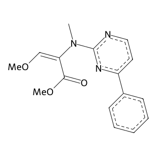 COC=C(C(=O)OC)N(C)c1nccc(-c2ccccc2)n1